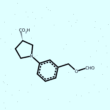 O=COCc1cccc(N2CC[C@H](C(=O)O)C2)c1